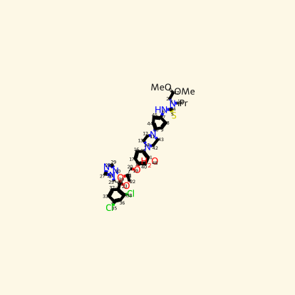 COC(CN(C(=S)Nc1ccc(N2CCN(c3ccc(OC[C@@H]4CO[C@@](Cn5cncn5)(c5ccc(Cl)cc5Cl)O4)cc3)CC2)cc1)C(C)C)OC.O